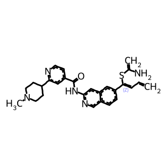 C=C/C=C(\SC(=C)N)c1ccc2cnc(NC(=O)c3ccnc(C4CCN(C)CC4)c3)cc2c1